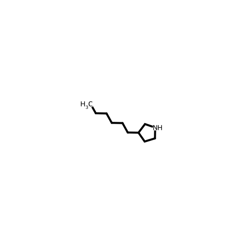 CCCCCCC1CCNC1